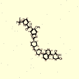 COc1cc2nc(N3CCC(CN4CCN(c5cccc6c(N7CCC(=O)NC7=O)cncc56)CC4)CC3)sc2cc1NC(=O)c1cccc(C(F)(F)F)n1